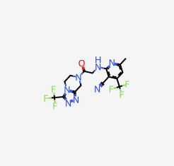 Cc1cc(C(F)(F)F)c(C#N)c(NCC(=O)N2CCn3c(nnc3C(F)(F)F)C2)n1